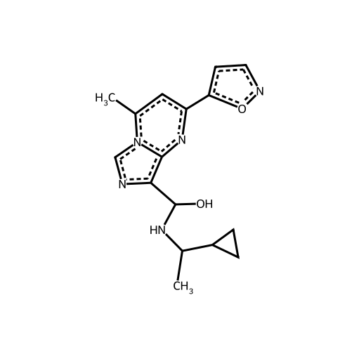 Cc1cc(-c2ccno2)nc2c(C(O)NC(C)C3CC3)ncn12